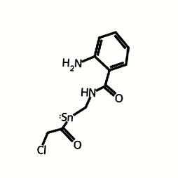 Nc1ccccc1C(=O)N[CH2][Sn][C](=O)CCl